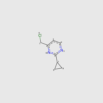 ClCc1c[c]nc(C2CC2)n1